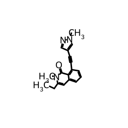 CCc1cc2cccc(C#Cc3cnn(C)c3)c2c(=O)n1C